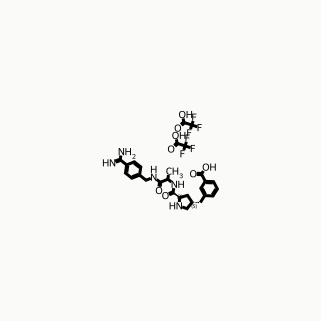 CC(NC(=O)[C@H]1C[C@H](Cc2cccc(C(=O)O)c2)CN1)C(=O)NCc1ccc(C(=N)N)cc1.O=C(O)C(F)(F)F.O=C(O)C(F)(F)F